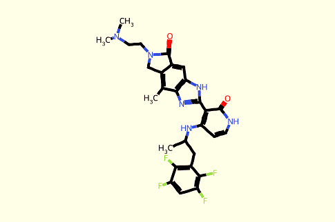 Cc1c2c(cc3[nH]c(-c4c(NC(C)Cc5c(F)c(F)cc(F)c5F)cc[nH]c4=O)nc13)C(=O)N(CCN(C)C)C2